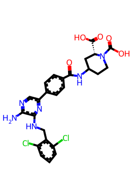 Nc1ncc(-c2ccc(C(=O)NC3CCN(C(=O)O)[C@@H](C(=O)O)C3)cc2)nc1NCc1c(Cl)cccc1Cl